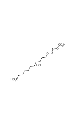 Cl.O=C(O)CCCCCCCCCCOOOOC(=O)O